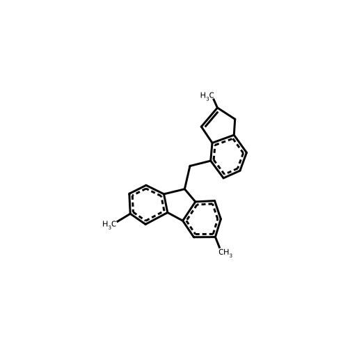 CC1=Cc2c(cccc2CC2c3ccc(C)cc3-c3cc(C)ccc32)C1